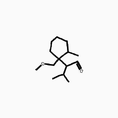 COCC1(C(C=O)C(C)C)CCCCC1C